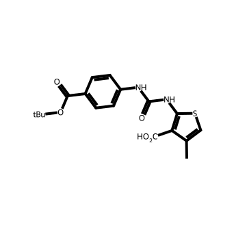 Cc1csc(NC(=O)Nc2ccc(C(=O)OC(C)(C)C)cc2)c1C(=O)O